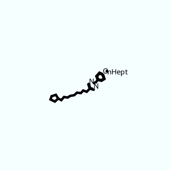 CCCCCCCOc1ccc(-c2ncc(CCCCCCCCCC3CCCC3)cn2)cc1